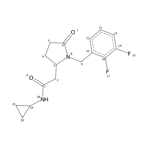 O=C(CC1CCC(=O)N1Cc1cccc(F)c1F)NC1CC1